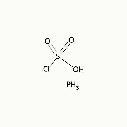 O=S(=O)(O)Cl.P